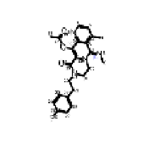 C/N=c1/c2c(C)ccnc2c(OC(C)=O)c2n1CCN(CCc1ccc(F)cc1)C2=O